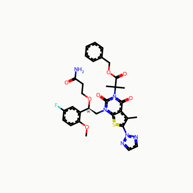 COc1ccc(F)cc1[C@H](Cn1c(=O)n(C(C)(C)C(=O)OCc2ccccc2)c(=O)c2c(C)c(-n3nccn3)sc21)OCCC(N)=O